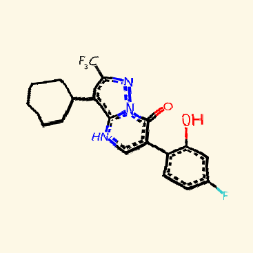 O=c1c(-c2ccc(F)cc2O)c[nH]c2c(C3CCCCC3)c(C(F)(F)F)nn12